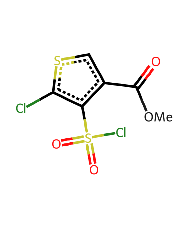 COC(=O)c1csc(Cl)c1S(=O)(=O)Cl